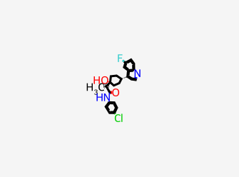 C[C@H](C(=O)Nc1ccc(Cl)cc1)[C@]1(O)CC[C@@H](c2ccnc3ccc(F)cc32)CC1